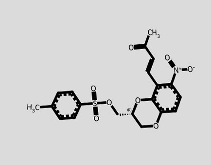 CC(=O)C=Cc1c([N+](=O)[O-])ccc2c1O[C@@H](COS(=O)(=O)c1ccc(C)cc1)CO2